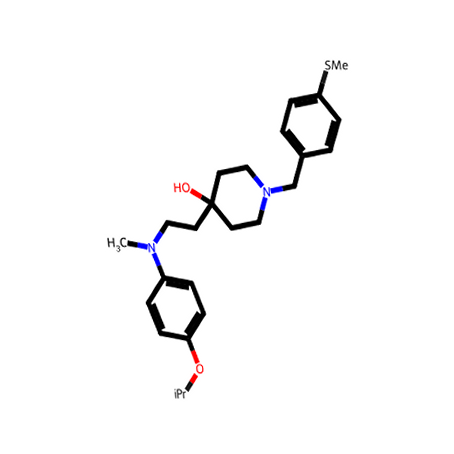 CSc1ccc(CN2CCC(O)(CCN(C)c3ccc(OC(C)C)cc3)CC2)cc1